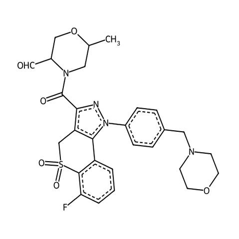 CC1CN(C(=O)c2nn(-c3ccc(CN4CCOCC4)cc3)c3c2CS(=O)(=O)c2c(F)cccc2-3)C(C=O)CO1